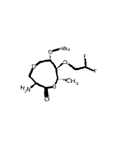 CCCCO[C@H]1COC[C@H](N)C(=O)O[C@@H](C)[C@@H]1OCC(F)F